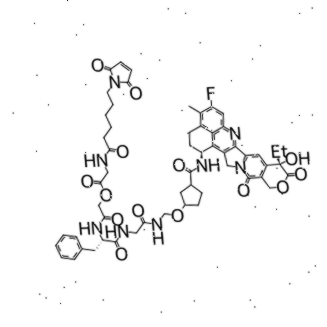 CC[C@@]1(O)C(=O)OCc2c1cc1n(c2=O)Cc2c-1nc1cc(F)c(C)c3c1c2[C@@H](NC(=O)C1CCC(OCNC(=O)CNC(=O)[C@H](Cc2ccccc2)NC(=O)COC(=O)CNC(=O)CCCCCN2C(=O)C=CC2=O)C1)CC3